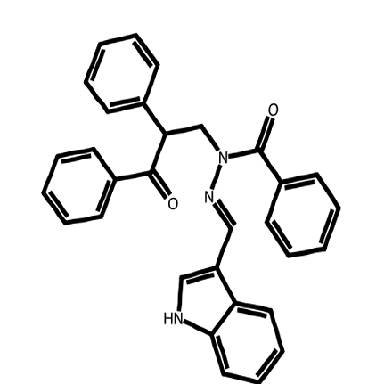 O=C(c1ccccc1)C(CN(N=Cc1c[nH]c2ccccc12)C(=O)c1ccccc1)c1ccccc1